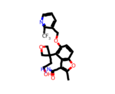 Cc1oc2ccc(OCc3cccnc3C(F)(F)F)c(C3(CCO)COC3)c2c1C(N)=O